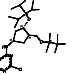 CC(C)[Si](O[C@H]1C[C@H](Nc2ncnc(Cl)n2)C[C@@H]1CO[Si](C)(C)C(C)(C)C)(C(C)C)C(C)C